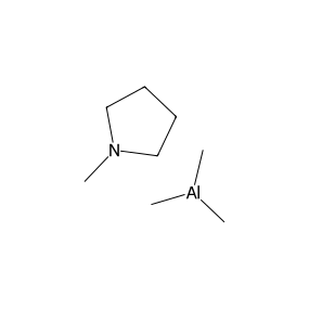 CN1CCCC1.[CH3][Al]([CH3])[CH3]